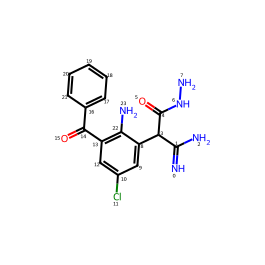 N=C(N)C(C(=O)NN)c1cc(Cl)cc(C(=O)c2ccccc2)c1N